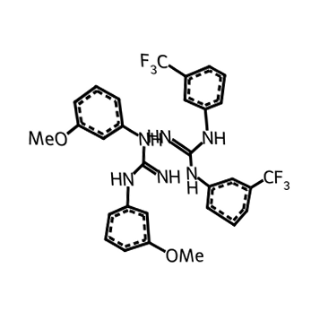 COc1cccc(NC(=N)Nc2cccc(OC)c2)c1.N=C(Nc1cccc(C(F)(F)F)c1)Nc1cccc(C(F)(F)F)c1